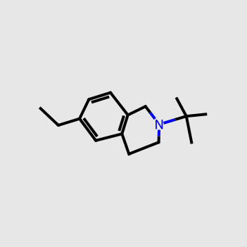 CCc1ccc2c(c1)CCN(C(C)(C)C)C2